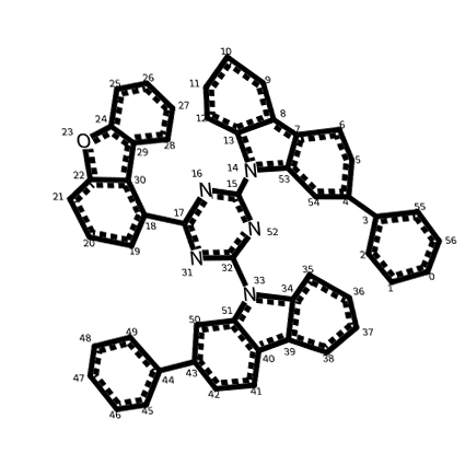 c1ccc(-c2ccc3c4ccccc4n(-c4nc(-c5cccc6oc7ccccc7c56)nc(-n5c6ccccc6c6ccc(-c7ccccc7)cc65)n4)c3c2)cc1